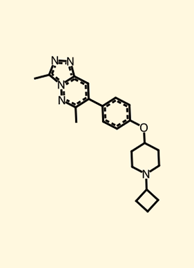 Cc1nn2c(C)nnc2cc1-c1ccc(OC2CCN(C3CCC3)CC2)cc1